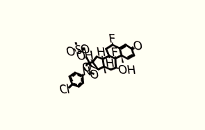 C[C@]12C=CC(=O)C=C1[C@@H](F)C[C@H]1[C@@H]3C[C@H]4CN(c5ccc(Cl)cc5)O[C@@]4(C(=O)COS(C)(=O)=O)[C@@]3(C)C[C@H](O)[C@@]12F